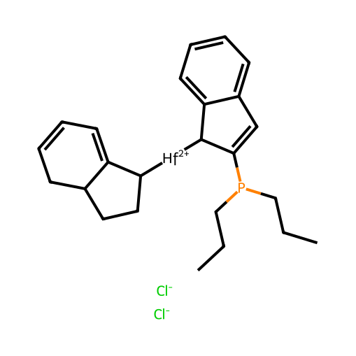 CCCP(CCC)C1=Cc2ccccc2[CH]1[Hf+2][CH]1CCC2CC=CC=C21.[Cl-].[Cl-]